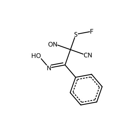 N#CC(N=O)(SF)/C(=N\O)c1ccccc1